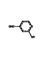 CCCc1cc(C=O)ccn1